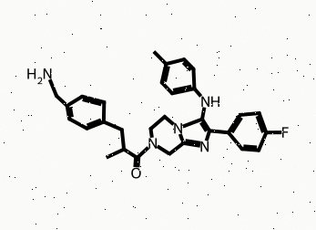 Cc1ccc(Nc2c(-c3ccc(F)cc3)nc3n2CCN(C(=O)C(C)Cc2ccc(CN)cc2)C3)cc1